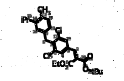 CCOC(=O)/C(=C\c1cc(Cl)c(Cc2ccc(C)c(C(C)C)c2)c(Cl)c1)C(=O)OC(C)(C)C